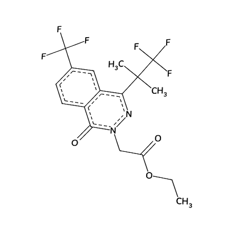 CCOC(=O)Cn1nc(C(C)(C)C(F)(F)F)c2cc(C(F)(F)F)ccc2c1=O